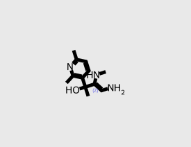 CN/C(=C\N)C(C)(O)c1ccc(C)nc1C